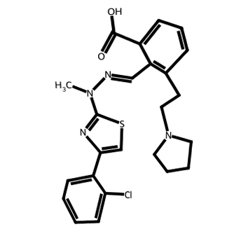 CN(/N=C/c1c(CCN2CCCC2)cccc1C(=O)O)c1nc(-c2ccccc2Cl)cs1